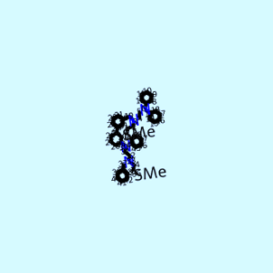 CSCCN(CCN(c1ccccc1)c1ccccc1)Cc1cccc(C2CCCC(N(CCN(CCSC)Cc3ccccc3)c3ccccc3)C2)c1